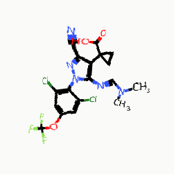 CN(C)C=Nc1c(C2(C(=O)O)CC2)c(C#N)nn1-c1c(Cl)cc(OC(F)(F)F)cc1Cl